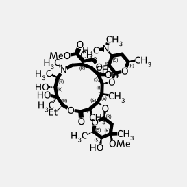 CC[C@H]1OC(=O)[C@H](C)[C@@H](O[C@H]2C[C@@](C)(OC)[C@@H](O)[C@H](C)O2)[C@H](C)[C@@H](O[C@@H]2O[C@H](C)C[C@H](N(C)C)[C@H]2OCCC(=O)OC)[C@@](C)(O)C[C@@H](C)CN(C)[C@H](C)[C@@H](O)[C@]1(C)O